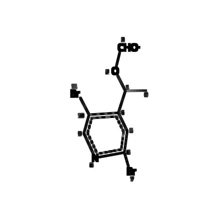 CC(O[C]=O)c1cc(Br)ncc1Br